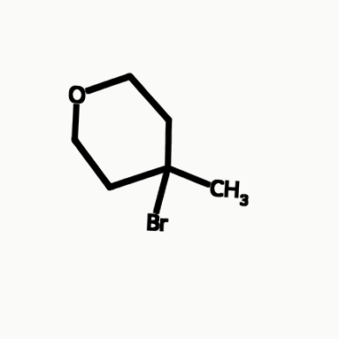 CC1(Br)CCOCC1